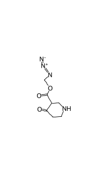 [N-]=[N+]=NCOC(=O)C1CNCCC1=O